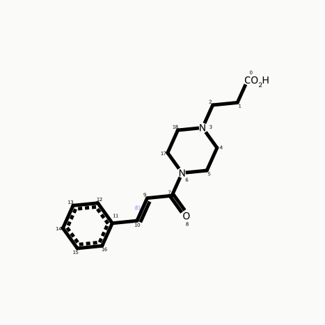 O=C(O)CCN1CCN(C(=O)/C=C/c2ccccc2)CC1